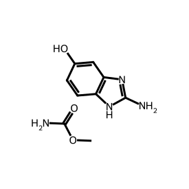 COC(N)=O.Nc1nc2cc(O)ccc2[nH]1